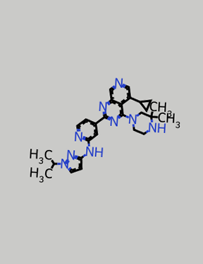 CC(C)n1ccc(Nc2cc(-c3nc(N4CCNC(C)(C)C4)c4c(C5CC5)cncc4n3)ccn2)n1